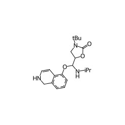 CC(C)NC(Oc1cccc2c1C=CNC2)C1CN(C(C)(C)C)C(=O)O1